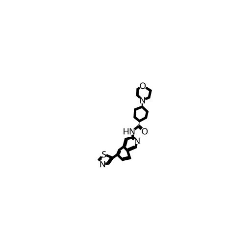 O=C(Nc1cc2cc(-c3cncs3)ccc2cn1)[C@H]1CC[C@H](N2CCOCC2)CC1